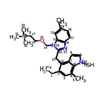 CCc1cc(C)c2c(ccn2S)c1Cc1nc2ccc(C)cc2n1COCC[Si](C)(C)C